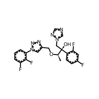 C[C@@H](OCc1cn(-c2cccc(F)c2F)nn1)[C@](O)(Cn1cncn1)c1ccc(F)cc1F